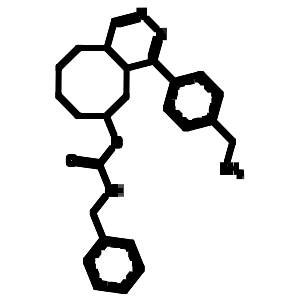 NCc1ccc(C2=NN=CC3CCCCC(OC(=O)NCc4ccccc4)CC23)cc1